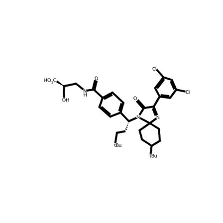 CC(C)(C)CC[C@H](c1ccc(C(=O)NC[C@@H](O)C(=O)O)cc1)N1C(=O)C(c2cc(Cl)cc(Cl)c2)=NC12CCC(C(C)(C)C)CC2